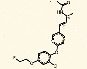 CC(=O)N[C@@H](C)/C=C/c1ccc(Oc2ccc(OCCF)cc2Cl)nc1